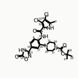 Cc1[nH]c(C(=O)Nc2ccc(-c3noc(=O)[nH]3)cc2N2CCN(C(=O)OC(C)(C)C)CC2)c(Cl)c1Cl